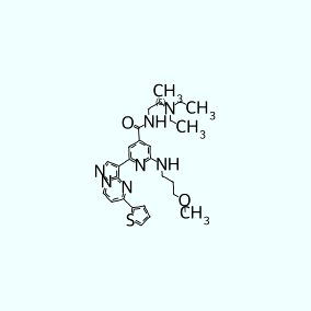 CCN(CC)[C@@H](C)CNC(=O)c1cc(NCCCOC)nc(-c2cnn3ccc(-c4cccs4)nc23)c1